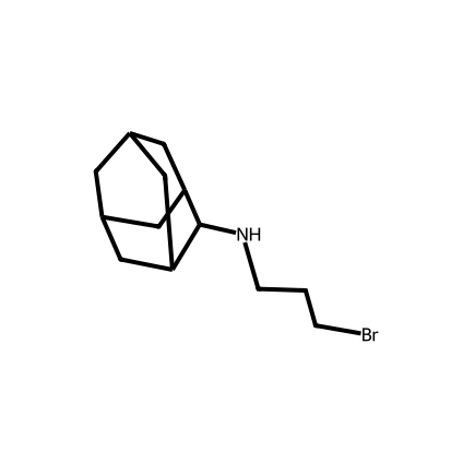 BrCCCNC1C2CC3CC(C2)CC1C3